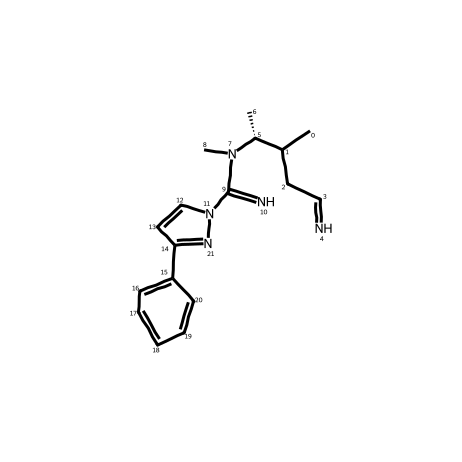 CC(CC=N)[C@@H](C)N(C)C(=N)n1ccc(-c2ccccc2)n1